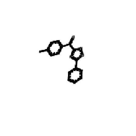 [CH2]c1ccc(C(=O)c2noc(-c3ccccc3)n2)cc1